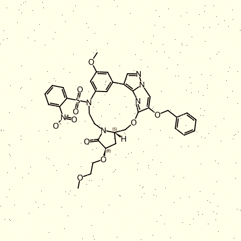 COCCO[C@@H]1C[C@H]2COc3nc4c(cnn4cc3OCc3ccccc3)-c3cc(OC)cc(c3)N(S(=O)(=O)c3ccccc3[N+](=O)[O-])CCN2C1=O